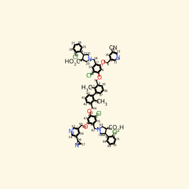 Cc1c(COc2cc(OCc3cncc(C#N)c3)c(CN3CC(C(=O)O)C(c4ccccc4Cl)C3)cc2Cl)cccc1-c1cccc(COc2cc(OCc3cncc(C4C=N4)c3)c(CN3CC(C(=O)O)C(c4ccccc4Cl)C3)cc2Cl)c1C